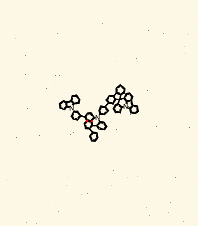 c1ccc(-c2ccccc2-c2ccccc2N(c2ccc(-c3cccc(-n4c5ccccc5c5ccccc54)c3)cc2)c2ccc(-c3ccc4c(c3)C3(c5ccccc5-4)c4ccccc4-n4c5ccccc5c5cccc3c54)cc2)cc1